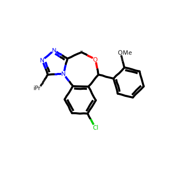 COc1ccccc1C1O[C]c2nnc(C(C)C)n2-c2ccc(Cl)cc21